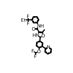 CCC(F)(F)c1cccc(NC(=O)C2=C(C)OC(c3ccc(OC(F)F)c(-c4ccccn4)c3)N2)c1